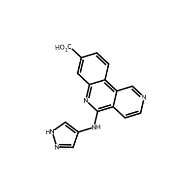 O=C(O)c1ccc2c(c1)nc(Nc1cn[nH]c1)c1ccncc12